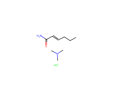 CCCC=CC(N)=O.CN(C)C.Cl